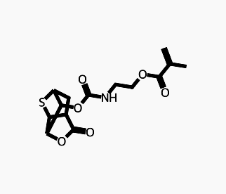 C=C(C)C(=O)OCCNC(=O)OC1C2CC3C(=O)OC1C3S2